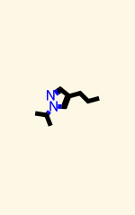 CCCc1cnn(C(C)C)c1